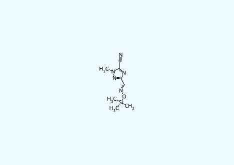 Cn1nc(/C=N/O[Si](C)(C)C)nc1C#N